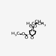 CCOC(=O)[C@@H]1CN(C(=O)OC(C)(C)C)CCC1=O